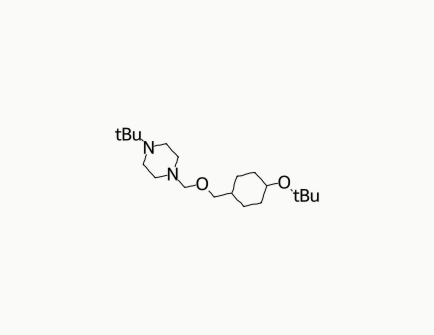 CC(C)(C)OC1CCC(COCN2CCN(C(C)(C)C)CC2)CC1